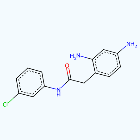 Nc1ccc(CC(=O)Nc2cccc(Cl)c2)c(N)c1